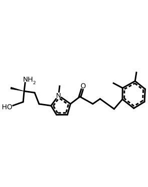 Cc1cccc(CCCC(=O)c2ccc(CC[C@@](C)(N)CO)n2C)c1C